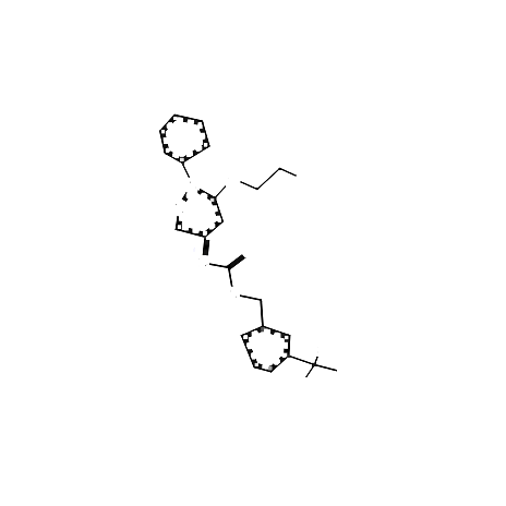 CCCOc1c/c(=N\C(=S)NCc2cccc(C(F)(F)F)c2)cnn1-c1ccccc1